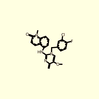 C=C1N=C(Nc2cccc3c2ccc(=O)n3C)N(Cc2ccc(F)c(Cl)c2)C=C1OC